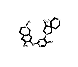 COc1cc2c(cc1Nc1ncc(Cl)c(N3CC(C(=O)O)C4(CCOCC4)C3)n1)CN(C)CC2